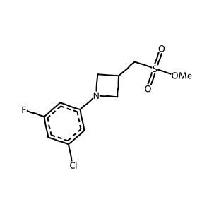 COS(=O)(=O)CC1CN(c2cc(F)cc(Cl)c2)C1